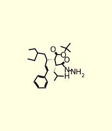 CCC(CC)CC(/C=C/c1ccccc1)[C@H](C(=O)OC(C)(C)C)[C@@H](CC(C)C)C(=O)NN